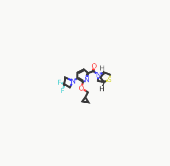 O=C(c1ccc(N2CC(F)(F)C2)c(OCC2CC2)n1)N1C[C@@H]2C[C@H]1CS2